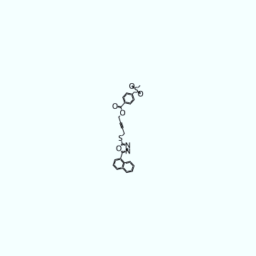 CS(=O)(=O)c1ccc(C(=O)OCC#CCSc2nnc(-c3cccc4ccccc34)o2)cc1